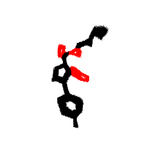 CCCCOC(=O)C1CCC(c2ccc(C)cc2)C1=O